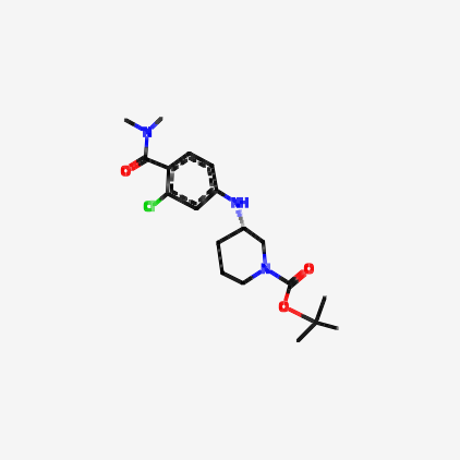 CN(C)C(=O)c1ccc(N[C@H]2CCCN(C(=O)OC(C)(C)C)C2)cc1Cl